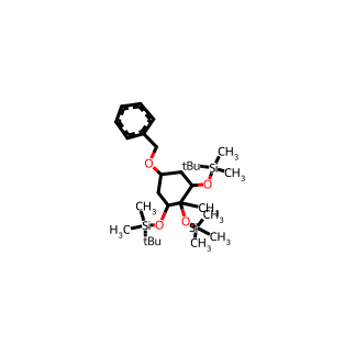 CC1(O[Si](C)(C)C)C(O[Si](C)(C)C(C)(C)C)CC(OCc2ccccc2)CC1O[Si](C)(C)C(C)(C)C